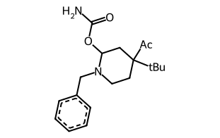 CC(=O)C1(C(C)(C)C)CCN(Cc2ccccc2)C(OC(N)=O)C1